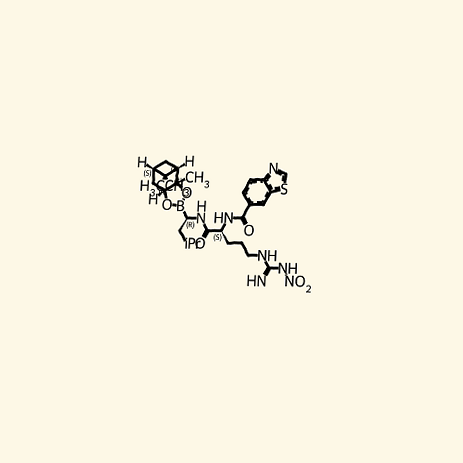 CC(C)C[C@H](NC(=O)[C@H](CCCNC(=N)N[N+](=O)[O-])NC(=O)c1ccc2ncsc2c1)B1O[C@@H]2C[C@@H]3C[C@@H](C3(C)C)[C@]2(C)O1